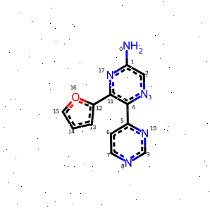 Nc1cnc(-c2ccncn2)c(-c2ccco2)n1